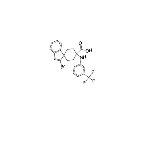 O=C(O)C1(Nc2cccc(C(F)(F)F)c2)CCC2(CC1)C(Br)=Cc1ccccc12